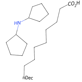 C1CCC(NC2CCCC2)C1.CCCCCCCCCCCCCCCCCC(=O)O